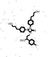 CC(=O)OC(CC[C@H]1C(=O)N(c2ccc(CCCO)cc2)[C@@H]1c1ccc(CCCO)cc1)c1ccc(F)cc1